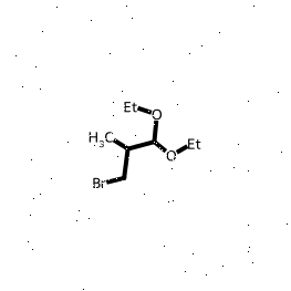 CCOC(OCC)C(C)CBr